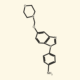 Nc1ccc(-n2cnc3cc(OCN4CCOCC4)ccc32)cc1